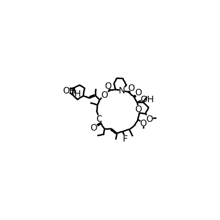 CCC1/C=C(\C)C(F)C(C)CC(OC)C2OC(O)(C(=O)C(=O)N3CCCCC3C(=O)OC(C(C)=CC3CC[C@H]4O[C@H]4C3)C(C)CCC1=O)C(C)CC2OC